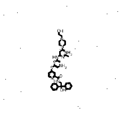 C=C(NC(=C/C(=C)N1CCN(CCO)CC1)/N=C(/C)N)S/C(=C\N)Sc1ccnc(C(=O)NCC(O)(c2ccccc2)c2ccccc2)c1